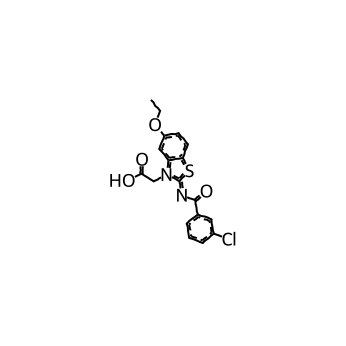 CCOc1ccc2s/c(=N\C(=O)c3cccc(Cl)c3)n(CC(=O)O)c2c1